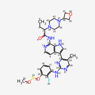 CCC(C(=O)Nc1nccc2c(-c3nc(Nc4cccc(OSOC)c4F)ncc3C)c[nH]c12)N1CCN(C2COC2)CC1